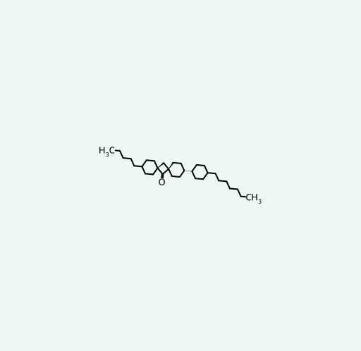 CCCCCCCC1CCC([C@H]2CC[C@]3(CC2)C[C@@]2(CCC(CCCCC)CC2)C3=O)CC1